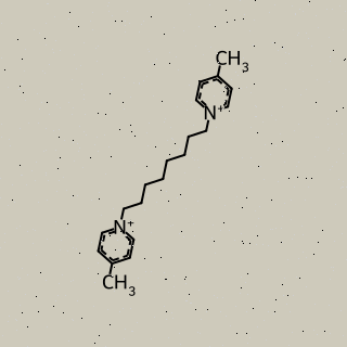 Cc1cc[n+](CCCCCCCC[n+]2ccc(C)cc2)cc1